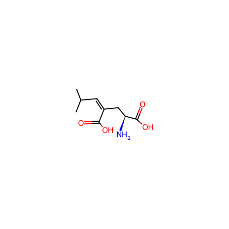 CC(C)C=C(C[C@H](N)C(=O)O)C(=O)O